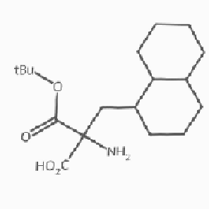 CC(C)(C)OC(=O)C(N)(CC1CCCC2CCCCC21)C(=O)O